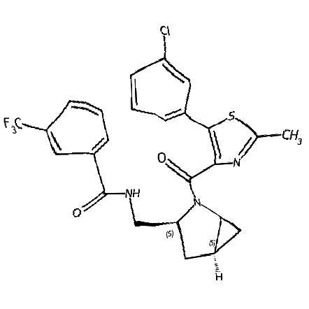 Cc1nc(C(=O)N2C3C[C@H]3C[C@H]2CNC(=O)c2cccc(C(F)(F)F)c2)c(-c2cccc(Cl)c2)s1